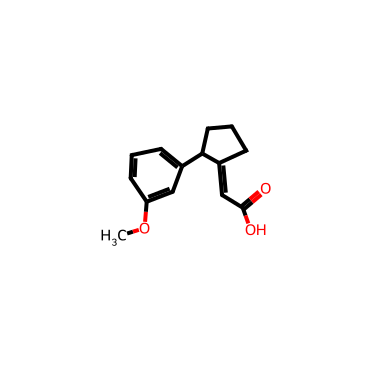 COc1cccc(C2CCC/C2=C\C(=O)O)c1